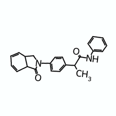 CC(C(=O)Nc1ccccc1)c1ccc(N2CC3C=CC=CC3C2=O)cc1